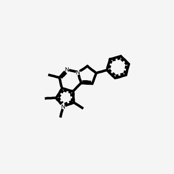 CC1=NN2CC(c3ccccc3)C=C2c2c1c(C)n(C)c2C